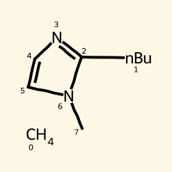 C.CCCCc1nccn1C